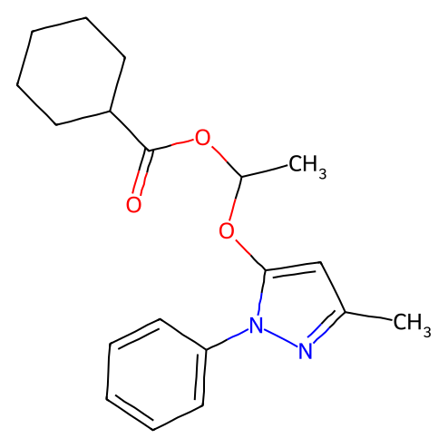 Cc1cc(OC(C)OC(=O)C2CCCCC2)n(-c2ccccc2)n1